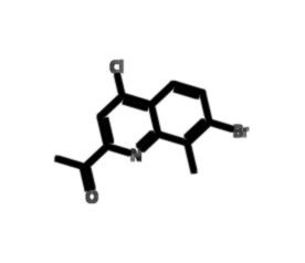 CC(=O)c1cc(Cl)c2ccc(Br)c(C)c2n1